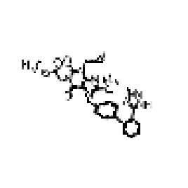 COC(=O)Cn1c(=O)c2c(nc(C)n2Cc2ccc(-c3ccccc3-c3nnn[nH]3)cc2)n(CC2CC2)c1=O